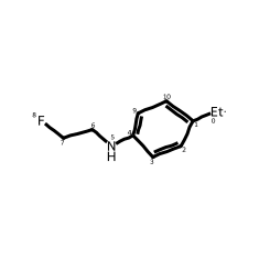 C[CH]c1ccc(NCCF)cc1